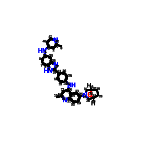 Cc1cc(Nc2ccc3[nH]c(-c4ccc(Nc5cc(C)nc6ccc(N7C[C@H]8CC[C@@H](C7)O8)cc56)cc4)nc3c2)ccn1